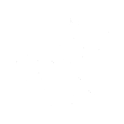 N=C(N)c1cccc(/C=C(\C(=O)Nc2ccc(-c3ccccc3S(N)(=O)=O)cc2)c2ccncc2)c1